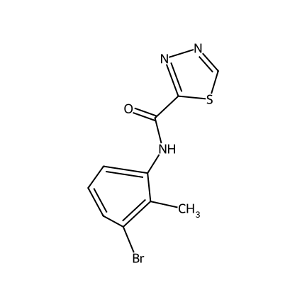 Cc1c(Br)cccc1NC(=O)c1nncs1